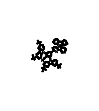 CC(C)(C)c1ccc2c(c1)c1cc(C(C)(C)C)ccc1n2-c1cc(-c2ccc3c(n2)-c2ccccc2[Si]32c3ccccc3-c3ccccc32)cc(-n2c3ccc(C(C)(C)C)cc3c3cc(C(C)(C)C)ccc32)c1C#N